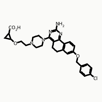 Nc1nc2c(c(N3CCN(CCOC4CC4C(=O)O)CC3)n1)CCc1cc(OCc3ccc(Cl)cc3)ccc1-2